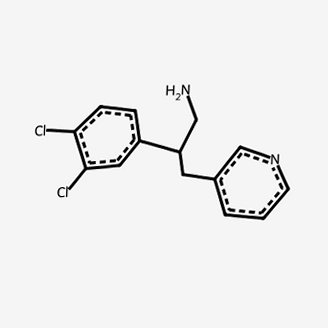 NCC(Cc1cccnc1)c1ccc(Cl)c(Cl)c1